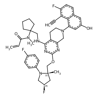 C#Cc1c(F)ccc2cc(O)cc(N3CCc4c(nc(OC[C@]5(C)C[C@@H](F)CN5c5ccc(F)cc5)nc4NCC4(N(C)C(=O)C=C)CCCC4)C3)c12